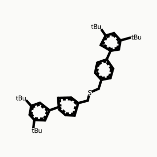 CC(C)(C)c1cc(-c2ccc(CSCc3ccc(-c4cc(C(C)(C)C)cc(C(C)(C)C)c4)cc3)cc2)cc(C(C)(C)C)c1